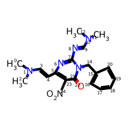 CN(C)C=Cc1nc(N=CN(C)C)n(Cc2ccccc2)c(=O)c1[N+](=O)[O-]